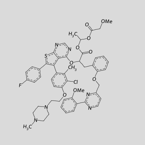 COCC(=O)OC(C)OC(=O)C(Cc1ccccc1OCc1ccnc(-c2ccccc2OC)n1)Oc1ncnc2sc(-c3ccc(F)cc3)c(-c3ccc(OCCN4CCN(C)CC4)c(Cl)c3C)c12